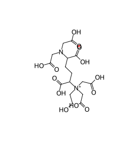 O=C(O)CN(CC(=O)O)C(CCC(C(=O)O)[N+](CCO)(CC(=O)O)CC(=O)O)C(=O)O